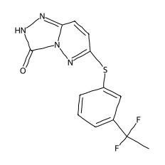 CC(F)(F)c1cccc(Sc2ccc3n[nH]c(=O)n3n2)c1